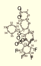 O=c1ccc2ccc(S(OS(=O)(=O)c3c(F)c(F)c(F)c(F)c3F)(c3ccccc3)c3ccccc3)cc2o1